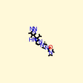 Cc1c(-c2[nH]c3ccc(N4CCN(C(=O)CN(C(C)C)C(C)C)C[C@@H]4C)nc3c2C(C)C)cn2ncnc2c1C